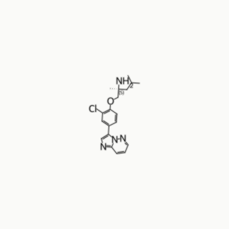 CC(C)C[C@](C)(N)COc1ccc(-c2cnc3cccnn23)cc1Cl